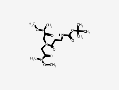 CON(C)C(=O)CN(CC(=O)N(C)OC)C(=O)CCNC(=O)OC(C)(C)C